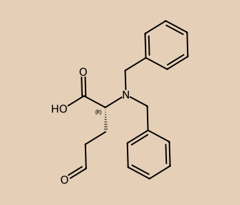 O=CCC[C@H](C(=O)O)N(Cc1ccccc1)Cc1ccccc1